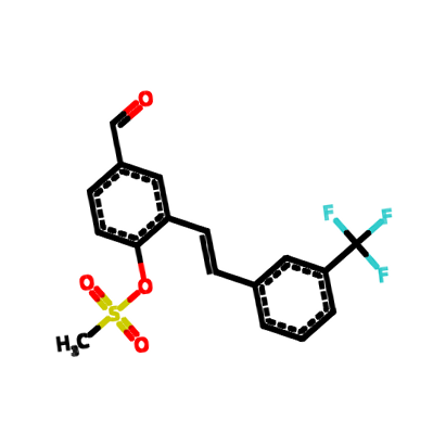 CS(=O)(=O)Oc1ccc(C=O)cc1C=Cc1cccc(C(F)(F)F)c1